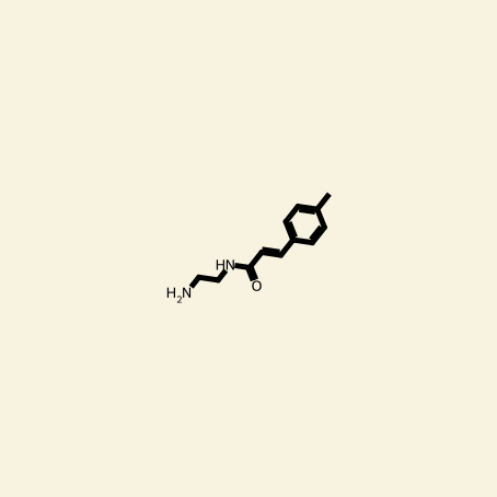 Cc1ccc(/C=C/C(=O)NCCN)cc1